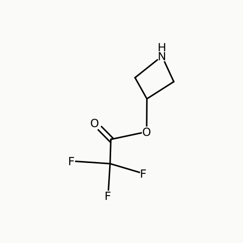 O=C(OC1CNC1)C(F)(F)F